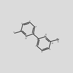 Cc1cccc(-c2cccc(Br)n2)n1